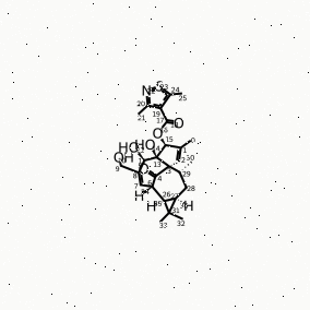 CC1=C[C@]23C(=O)[C@@H](C=C(CO)[C@@H](O)[C@]2(O)[C@H]1OC(=O)c1c(C)nsc1C)[C@H]1[C@@H](C[C@H]3C)C1(C)C